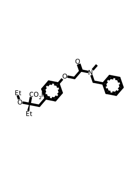 CCO[C@@](CC)(Cc1ccc(OCC(=O)N(C)Cc2ccccc2)cc1)C(=O)O